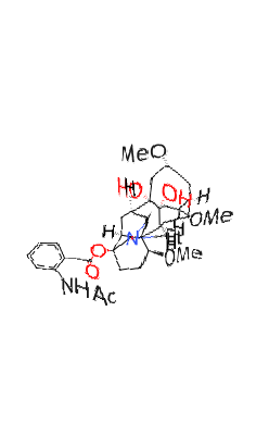 CCN1C[C@]2(OC(=O)c3ccccc3NC(C)=O)CC[C@H](OC)[C@]34C1[C@@H](C[C@H]23)[C@@]1(O)C[C@H](OC)C[C@H]2C[C@@H]4[C@]1(O)[C@H]2OC